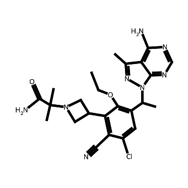 CCOc1c(C(C)n2nc(C)c3c(N)ncnc32)cc(Cl)c(C#N)c1C1CN(C(C)(C)C(N)=O)C1